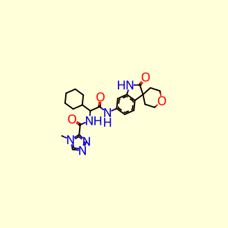 Cn1cnnc1C(=O)NC(C(=O)Nc1ccc2c(c1)NC(=O)C21CCOCC1)C1CCCCC1